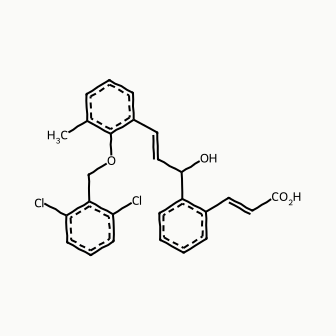 Cc1cccc(C=CC(O)c2ccccc2C=CC(=O)O)c1OCc1c(Cl)cccc1Cl